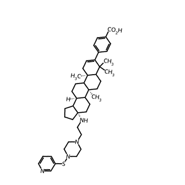 CC1(C)C(c2ccc(C(=O)O)cc2)=CC[C@@]2(C)C1CC[C@@]1(C)C3CC[C@@]4(NCCN5CCN(Sc6cccnc6)CC5)CCCC4[C@H]3CCC12